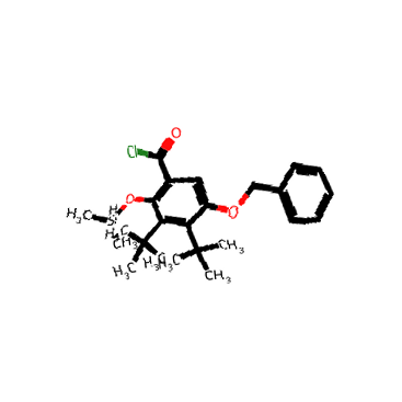 C[SiH](C)Oc1c(C(=O)Cl)cc(OCc2ccccc2)c(C(C)(C)C)c1C(C)(C)C